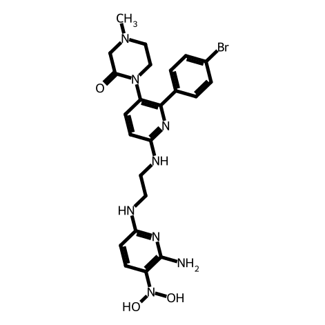 CN1CCN(c2ccc(NCCNc3ccc(N(O)O)c(N)n3)nc2-c2ccc(Br)cc2)C(=O)C1